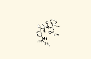 CCc1ncccc1C(CC(=O)O)NC(=O)C(C)NC(=O)c1cccc(NC(=N)N)c1